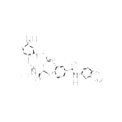 CCCN(OCc1ccc(N)cc1)C(=O)C1=Cc2ccc(C(=O)Nc3ccc4c(c3)COC4)cc2N=C(N)C1